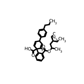 CCCc1ccc(C2C=CC(C(=O)O)(c3ccccc3C(=O)OC(C)CC(CC)CC)C(F)=C2)cc1